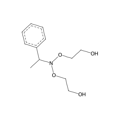 CC(c1ccccc1)N(OCCO)OCCO